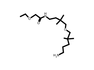 CCOCC(=O)NCCC(C)(C)COCC(C)(C)CCCN